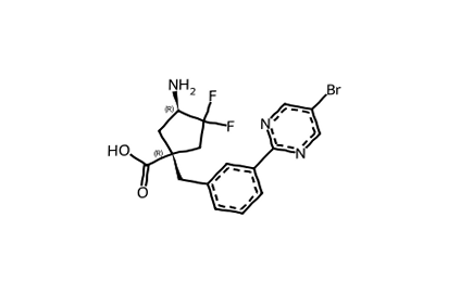 N[C@@H]1C[C@@](Cc2cccc(-c3ncc(Br)cn3)c2)(C(=O)O)CC1(F)F